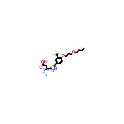 CCCCOCCCOc1ccc(-c2nnc([C@@](C)(N)CC(=O)O)s2)cc1C(F)(F)F